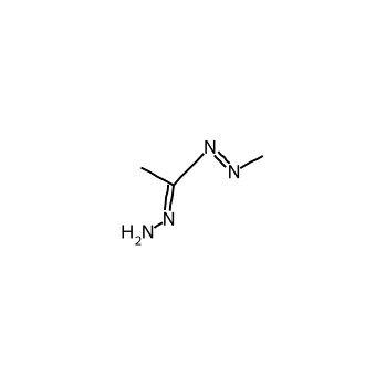 CN=NC(C)=NN